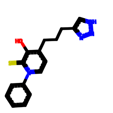 Oc1c(CCCc2c[nH]nn2)ccn(-c2ccccc2)c1=S